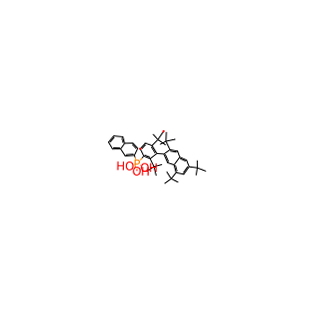 CC(C)(C)c1cc(C(C)(C)C)c2cc(-c3c(C(C)(C)C)ccc(P(O)(O)(O)c4ccc5ccccc5c4)c3C(C)(C)C)c(C(C)(C)C)cc2c1